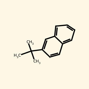 CC(C)(C)c1[c]cc2cc[c]cc2c1